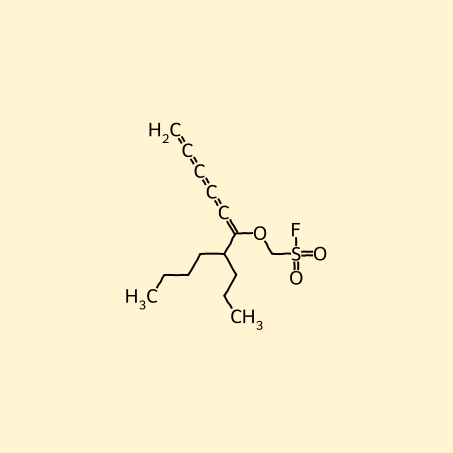 C=C=C=C=C=C(OCS(=O)(=O)F)C(CCC)CCCC